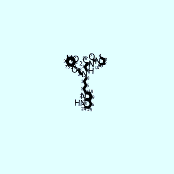 C[C@H]1CCCN1C(=O)N[C@@H](CCN(CCCCc1ccc2c(n1)NCCC2)CCOc1ccccc1)C(=O)O